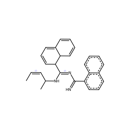 C/C=C\C(C)N/C(=N\C(=N)c1cccc2ccccc12)C1C=CC=C2C=CC=CC21